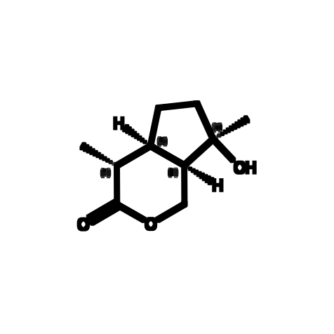 C[C@H]1C(=O)OC[C@H]2[C@@H]1CC[C@@]2(C)O